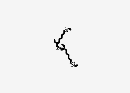 C=C[Si](C)(C)CCCCCCC(CC)[CH2][Zn][CH2]C(CC)CCCCCC[Si](C)(C)C=C